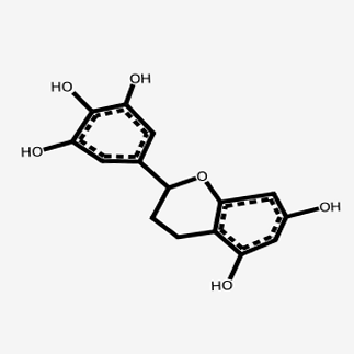 Oc1cc(O)c2c(c1)OC(c1cc(O)c(O)c(O)c1)CC2